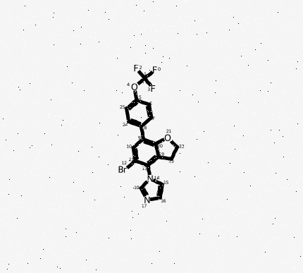 FC(F)(F)Oc1ccc(-c2cc(Br)c(-n3ccnc3)c3c2OCC3)cc1